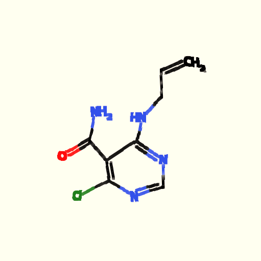 C=CCNc1ncnc(Cl)c1C(N)=O